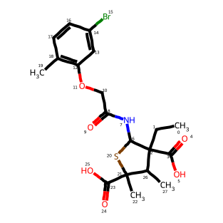 CCC1(C(=O)O)C(NC(=O)COc2cc(Br)ccc2C)SC(C)(C(=O)O)C1C